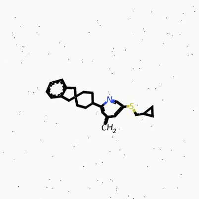 C=C1C=C(SCC2CC2)C=NC(C2CCC3(CC2)Cc2ccccc2C3)=C1